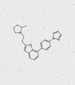 CC1CCCN1CCc1cc2cccc(-c3ccc(-n4cccn4)cc3)c2o1